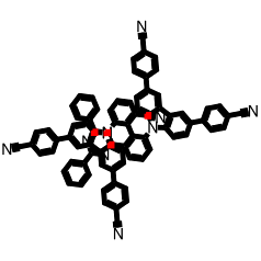 N#Cc1ccc(-c2ccc3c(c2)c2cc(-c4ccc(C#N)cc4)ccc2n3-c2cccc(C#N)c2-c2c(-c3nc(-c4ccccc4)nc(-c4ccccc4)n3)cccc2-n2c3ccc(-c4ccc(C#N)cc4)cc3c3cc(-c4ccc(C#N)cc4)ccc32)cc1